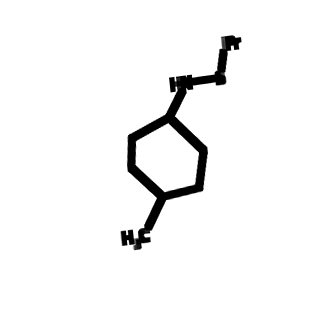 CC1CCC(NSC(C)C)CC1